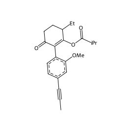 CC#Cc1ccc(C2=C(OC(=O)C(C)C)C(CC)CCC2=O)c(OC)c1